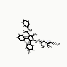 CC(C)c1c(C(=O)Nc2ccccc2)c(-c2ccccc2)c(-c2ccc(F)cc2)n1CC[C@H](O)C/C(O)=C/C(=O)O